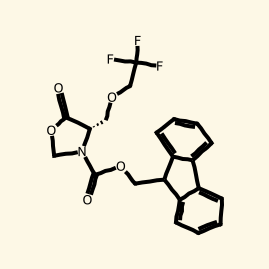 O=C1OCN(C(=O)OCC2c3ccccc3-c3ccccc32)[C@H]1COCC(F)(F)F